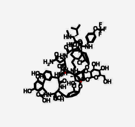 CN[C@H](CC(C)C)C(=O)NC1C(=O)N[C@@H](CC(N)=O)C(=O)N[C@H]2C(=O)N[C@H]3C(=O)NC(C(=O)N[C@@H](C(=O)O)c4cc(O)cc(O)c4-c4cc3ccc4O)[C@H](O)c3ccc(c(Cl)c3)Oc3cc2cc(c3OC2O[C@H](CO)[C@@H](O)[C@H](O)[C@H]2OC2C[C@](C)(NCCC3CCN(C(=O)Nc4ccc(OC(F)(F)F)cc4)CC3)[C@H](O)[C@H](C)O2)Oc2ccc(cc2Cl)[C@H]1O